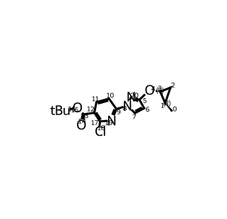 C[C@@H]1C[C@H]1Oc1ccn(-c2ccc(C(=O)OC(C)(C)C)c(Cl)n2)n1